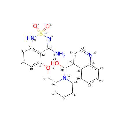 NC1=NS(=O)(=O)Nc2cccc(OC[C@H]3CCCCN3C(O)c3ccnc4ccccc34)c21